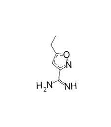 CCc1cc(C(=N)N)no1